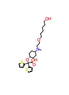 CN(CCOCCCCCCO)[C@H]1CC[C@H](OC(C(=O)O)(c2cccs2)c2cccs2)CC1